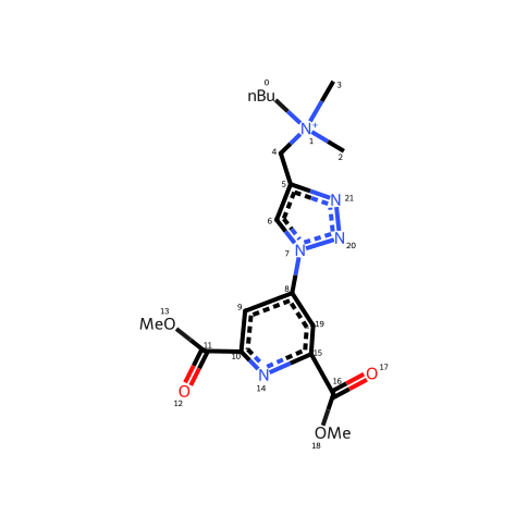 CCCC[N+](C)(C)Cc1cn(-c2cc(C(=O)OC)nc(C(=O)OC)c2)nn1